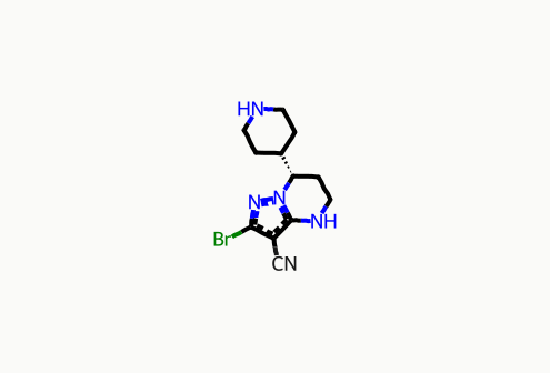 N#Cc1c(Br)nn2c1NCC[C@H]2C1CCNCC1